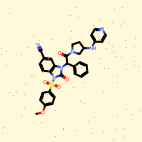 COc1ccc(S(=O)(=O)n2c(=O)n(C(C(=O)N3CCC(Nc4ccncc4)C3)c3ccccc3)c3cc(C#N)ccc32)cc1